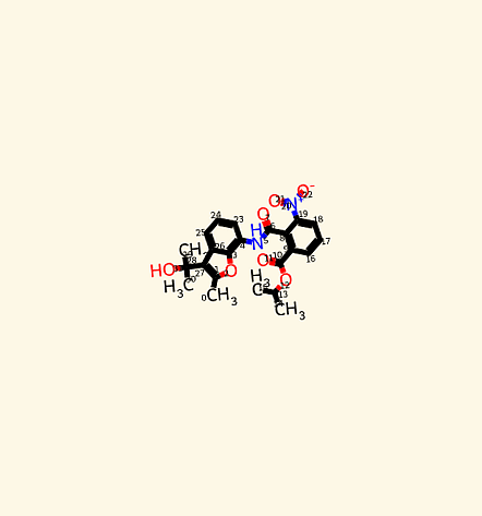 Cc1oc2c(NC(=O)c3c(C(=O)OC(C)C)cccc3[N+](=O)[O-])cccc2c1C(C)(C)O